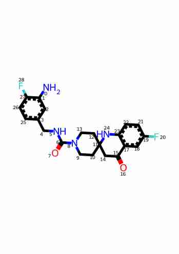 Nc1cc(CNC(=O)N2CCC3(CC2)CC(=O)c2cc(F)ccc2N3)ccc1F